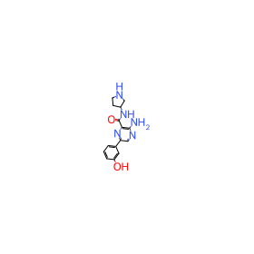 Nc1ncc(-c2cccc(O)c2)nc1C(=O)N[C@H]1CCNC1